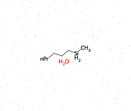 CCCCCC[SiH2]C.O